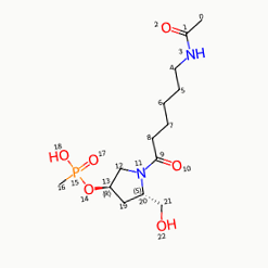 CC(=O)NCCCCCC(=O)N1C[C@H](OP(C)(=O)O)C[C@H]1CO